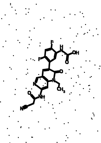 CCn1c(=O)c(-c2cc(NC(=O)O)c(F)cc2F)cc2cnc(NC(=O)CC#N)cc21